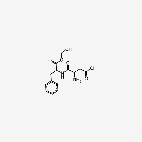 NC(CC(=O)O)C(=O)NC(Cc1ccccc1)C(=O)OCO